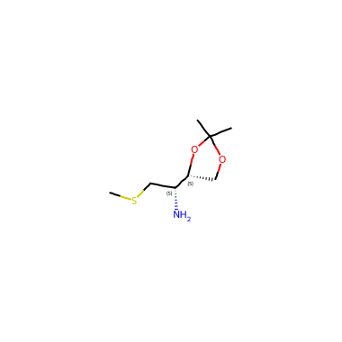 CSC[C@@H](N)[C@H]1COC(C)(C)O1